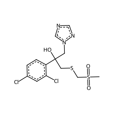 CS(=O)(=O)CSCC(O)(Cn1cncn1)c1ccc(Cl)cc1Cl